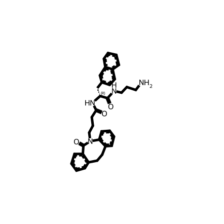 NCCCNC(=O)[C@@H](Cc1ccc2ccccc2c1)NC(=O)CCCN1C(=O)c2ccccc2CCc2ccccc21